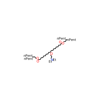 CCCCCC(CCCCC)CCOC(=O)CCCCCCCCC(CCCCCCCCC(=O)OCCC(CCCCC)CCCCC)OCCCN(CC)CC